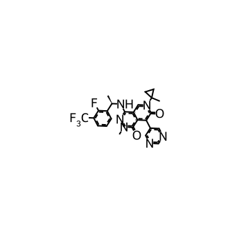 C[C@@H](Nc1nn(C)c(=O)c2c(-c3cncnc3)c(=O)n(C3(C)CC3)cc12)c1cccc(C(F)(F)F)c1F